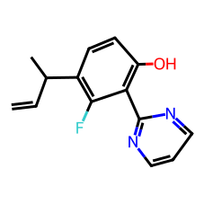 C=CC(C)c1ccc(O)c(-c2ncccn2)c1F